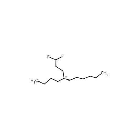 CCCCCC[C@H](CC=C(F)F)CCCC